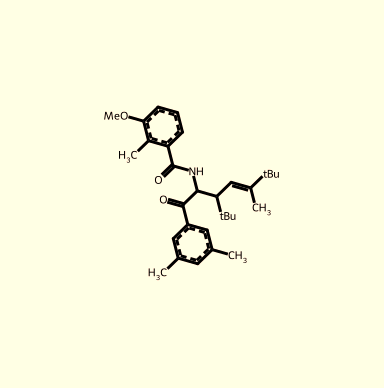 COc1cccc(C(=O)NC(C(=O)c2cc(C)cc(C)c2)C(/C=C(\C)C(C)(C)C)C(C)(C)C)c1C